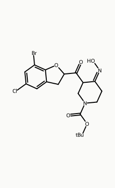 CC(C)(C)OC(=O)N1CC/C(=N/O)C(C(=O)C2Cc3cc(Cl)cc(Br)c3O2)C1